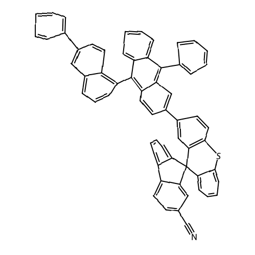 N#Cc1ccc2c(c1)C1(c3ccccc3Sc3ccc(-c4ccc5c(-c6cccc7cc(-c8ccccc8)ccc67)c6ccccc6c(-c6ccccc6)c5c4)cc31)c1ccccc1-2